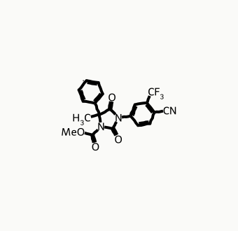 COC(=O)N1C(=O)N(c2ccc(C#N)c(C(F)(F)F)c2)C(=O)C1(C)c1cc[c]cc1